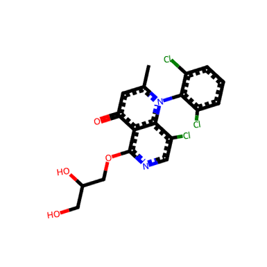 Cc1cc(=O)c2c(OCC(O)CO)ncc(Cl)c2n1-c1c(Cl)cccc1Cl